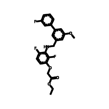 CCOC(=O)COc1ccc(F)c(NCc2cc(OC)cc(-c3cccc(F)c3)c2)c1F